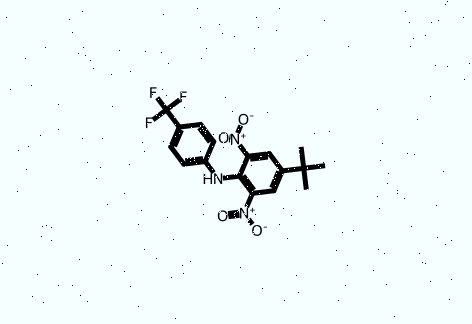 CC(C)(C)c1cc([N+](=O)[O-])c(Nc2ccc(C(F)(F)F)cc2)c([N+](=O)[O-])c1